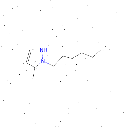 CCCCCCN1NC=CC1C